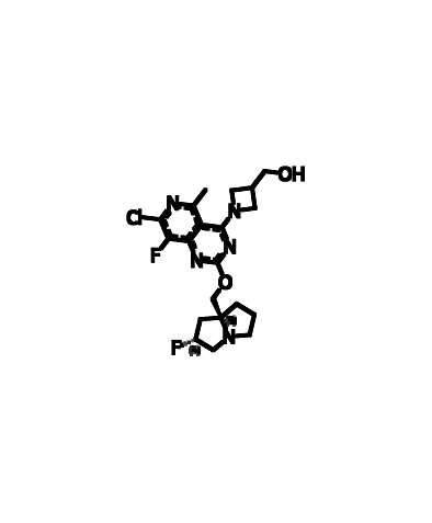 Cc1nc(Cl)c(F)c2nc(OC[C@@]34CCCN3C[C@H](F)C4)nc(N3CC(CO)C3)c12